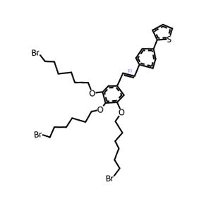 BrCCCCCCOc1cc(/C=C/c2ccc(-c3cccs3)cc2)cc(OCCCCCCBr)c1OCCCCCCBr